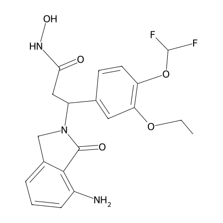 CCOc1cc(C(CC(=O)NO)N2Cc3cccc(N)c3C2=O)ccc1OC(F)F